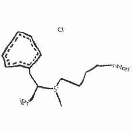 CCCCCCCCCCCC[S+](C)C(c1ccccc1)C(C)C.[Cl-]